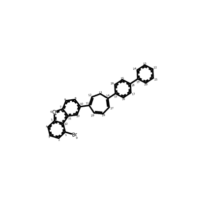 Brc1cccc2oc3ccc(C4=CCC(c5ccc(-c6ccccc6)cc5)=CC=C4)cc3c12